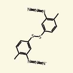 Cc1ccc(SSc2ccc(C)c(N=[N+]=[N-])c2)cc1N=[N+]=[N-]